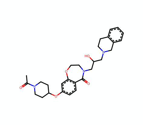 CC(=O)N1CCC(Oc2ccc3c(c2)OCCN(CC(O)CN2CCc4ccccc4C2)C3=O)CC1